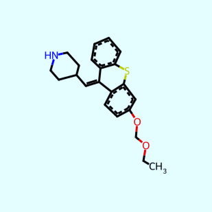 CCOCOc1ccc2c(c1)Sc1ccccc1C2=CC1CCNCC1